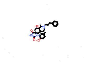 Cc1ccc(O)cc1[C@]12CCN(CCCc3ccccc3)[C@H](C)[C@]1(O)CC[C@@]1(C2)NC(=O)NC1=O